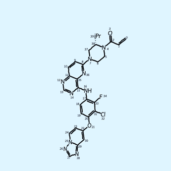 C=CC(=O)N1CCN(c2ccc3ncnc(Nc4ccc(Oc5ccn6ncnc6c5)c(Cl)c4F)c3n2)C[C@@H]1C(C)C